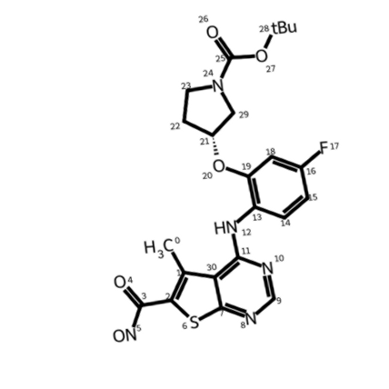 Cc1c(C(=O)N=O)sc2ncnc(Nc3ccc(F)cc3O[C@@H]3CCN(C(=O)OC(C)(C)C)C3)c12